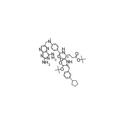 CN(Cc1cnc2nc(N)nc(N)c2n1)c1ccc(C(=O)N[C@@H](CCC(=O)OC(C)(C)C)C(=O)N[C@@H](Cc2cccc(C3CCCC3)c2)C(=O)OC(C)(C)C)cc1